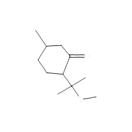 CSC(C)(C)C1CCC(C)CC1=O